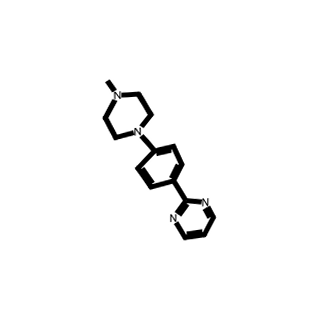 CN1CCN(c2ccc(-c3ncccn3)cc2)CC1